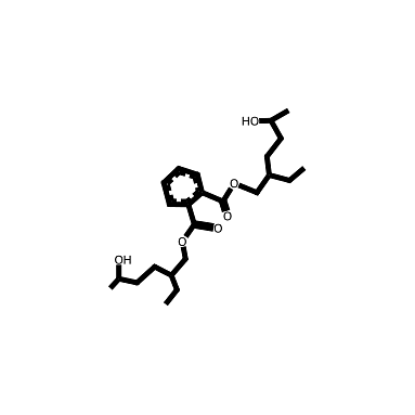 CCC(CCC(C)O)COC(=O)c1ccccc1C(=O)OCC(CC)CCC(C)O